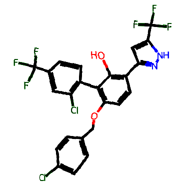 Oc1c(-c2cc(C(F)(F)F)[nH]n2)ccc(OCc2ccc(Cl)cc2)c1-c1ccc(C(F)(F)F)cc1Cl